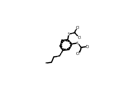 CCCCc1ccc(SC(Cl)Cl)c(SC(Cl)Cl)c1